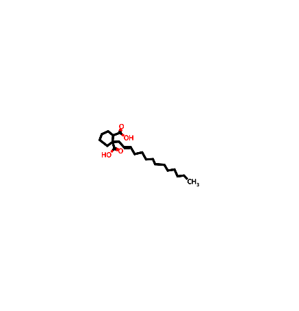 CCCCCCCCCCCC=CCC1(C(=O)O)CCCCC1C(=O)O